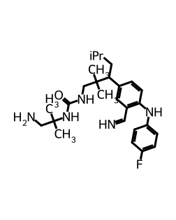 CC(C)CC(c1ccc(Nc2ccc(F)cc2)c(C=N)c1)C(C)(C)CNC(=O)NC(C)(C)CN